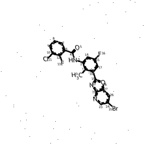 Cc1c(NC(=O)c2cccc(Cl)c2F)cc(F)cc1-c1nc2ncc(Br)cc2o1